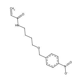 C=CC(=O)NCCCCOCc1ccc([N+](=O)[O-])cc1